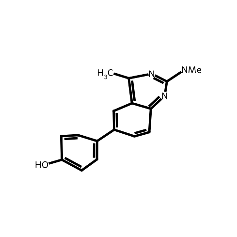 CNc1nc(C)c2cc(-c3ccc(O)cc3)ccc2n1